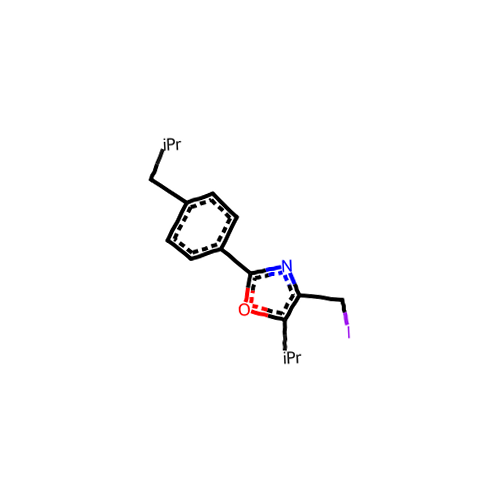 CC(C)Cc1ccc(-c2nc(CI)c(C(C)C)o2)cc1